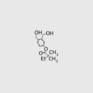 CCC(C)(C)C(=O)Oc1ccc(CO)c(CO)c1